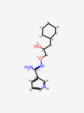 N/C(=N\OCC(O)CC1CCCCC1)c1cccnc1